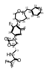 O=C(NC[C@H]1CN(c2cc(F)c(N3CCON(Cc4cccnc4)CC3)c(F)c2)C(=O)O1)C(F)F